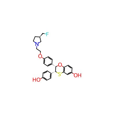 Oc1ccc([C@H]2Sc3cc(O)ccc3O[C@H]2c2ccc(OCCN3CC[C@@H](CF)C3)cc2)cc1